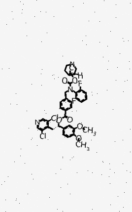 COc1ccc([C@H](Cc2c(Cl)cncc2Cl)OC(=O)c2ccc(CN(C(=O)O[C@H]3CN4CCC3CC4)c3c(F)cccc3F)cc2)cc1OC